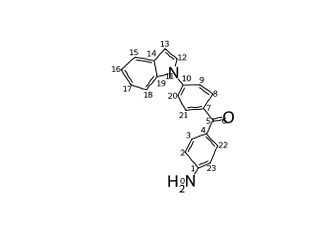 Nc1ccc(C(=O)c2ccc(-n3ccc4ccccc43)cc2)cc1